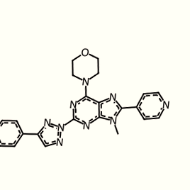 Cn1c(-c2ccncc2)nc2c(N3CCOCC3)nc(-n3ncc(-c4ccccc4)n3)nc21